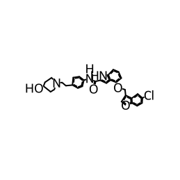 O=C(Nc1ccc(CCN2CCC(O)CC2)cc1)c1cc2c(OCc3coc4ccc(Cl)cc34)cccc2[nH]1